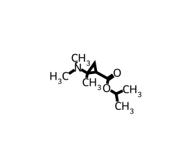 CC(C)OC(=O)C1CC1(C)N(C)C